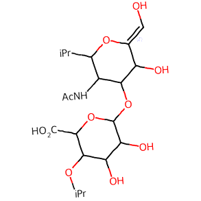 CC(=O)NC1C(C(C)C)O/C(=C\O)C(O)C1OC1OC(C(=O)O)C(OC(C)C)C(O)C1O